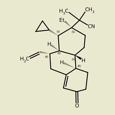 C=C[C@H]1CC2=CC(=O)CC[C@@H]2[C@H]2CC[C@](CC)(C(C)(C)C#N)[C@@H](C3CC3)[C@@H]21